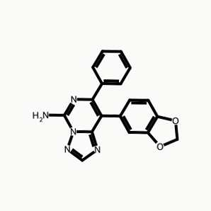 Nc1nc(-c2ccccc2)c(-c2ccc3c(c2)OCO3)c2ncnn12